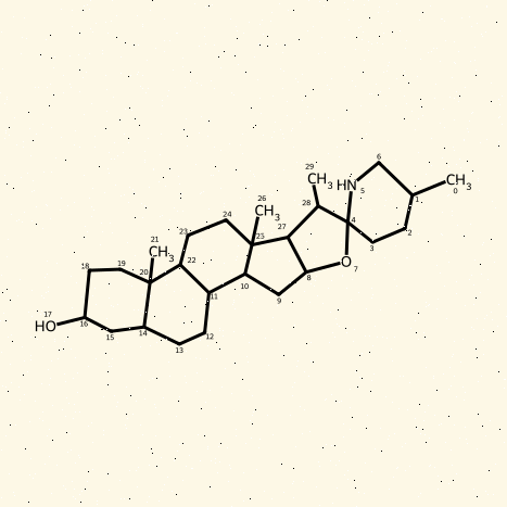 CC1CCC2(NC1)OC1CC3C4CCC5CC(O)CCC5(C)C4CCC3(C)C1C2C